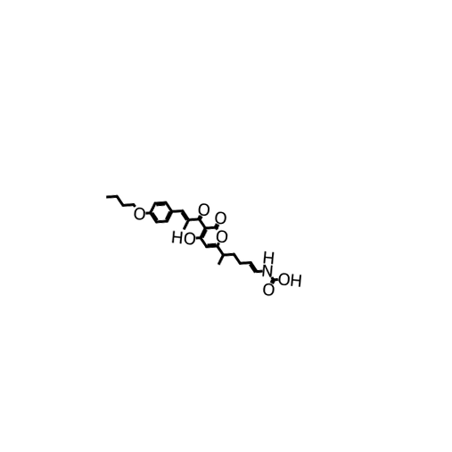 CCCCOc1ccc(/C=C(\C)C(=O)c2c(O)cc(C(C)CCC=CNC(=O)O)oc2=O)cc1